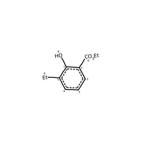 CCOC(=O)c1cccc(CC)c1O